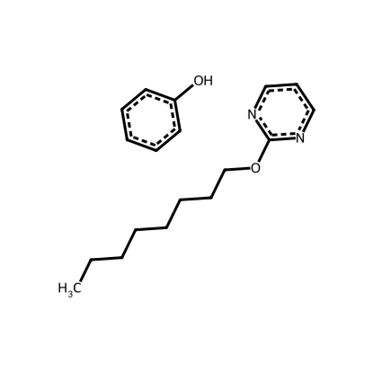 CCCCCCCCOc1ncccn1.Oc1ccccc1